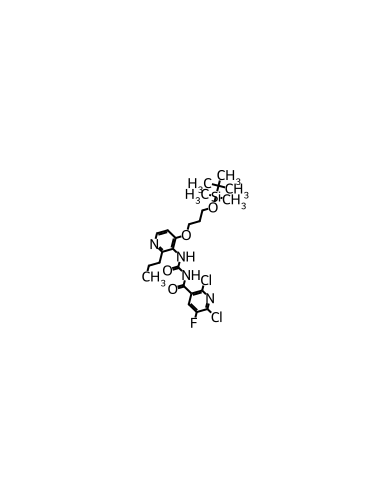 CCCc1nccc(OCCCO[Si](C)(C)C(C)(C)C)c1NC(=O)NC(=O)c1cc(F)c(Cl)nc1Cl